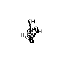 CCCCCCN1CC(=O)NCCN(Cc2c(CC)oc3ccccc23)CCC1=O